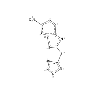 O=[N+]([O-])c1ccc2nc(Sc3nnn[nH]3)sc2c1